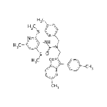 CSc1cc(C)nc(SC)c1NC(=O)N(Cc1ccc(C)cc1)Cc1oc2ccc(C)cc2c1-c1ccc(C)cc1